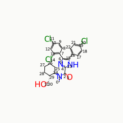 CN(C(=O)c1nc(-c2ccc(Cl)cc2Cl)c(-c2ccc(Cl)cc2)[nH]1)[C@@H]1CCCC[C@H]1CO